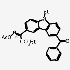 CCOC(=O)/C(=N\OC(C)=O)c1ccc2c(c1)c1cc(C(=O)c3ccccc3)ccc1n2CC